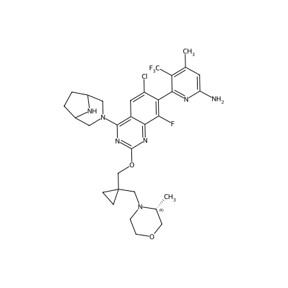 Cc1cc(N)nc(-c2c(Cl)cc3c(N4CC5CCC(C4)N5)nc(OCC4(CN5CCOC[C@H]5C)CC4)nc3c2F)c1C(F)(F)F